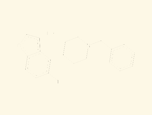 C[C@@H]1CN(Cc2ccccc2)CC[C@@H]1c1c(F)ccc2occc12